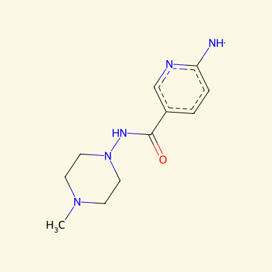 CN1CCN(NC(=O)c2ccc([NH])nc2)CC1